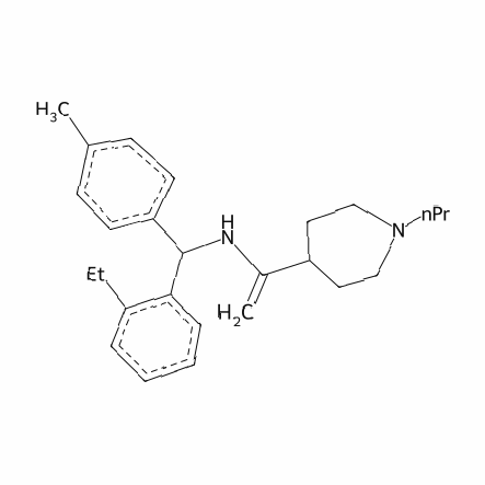 C=C(NC(c1ccc(C)cc1)c1ccccc1CC)C1CCN(CCC)CC1